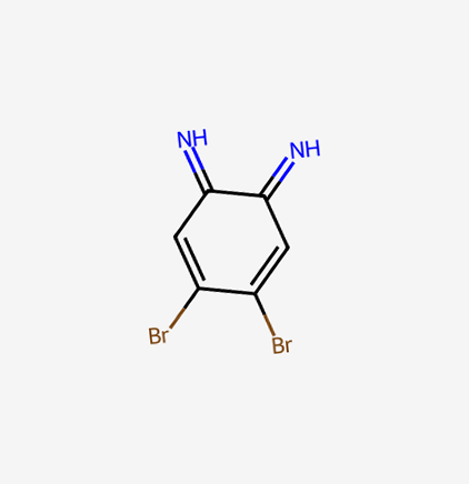 N=C1C=C(Br)C(Br)=CC1=N